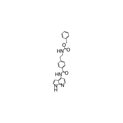 O=C(NCCc1ccc(C(=O)Nc2ccnc3[nH]ccc23)cc1)OCc1ccccc1